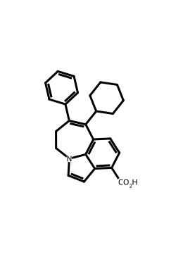 O=C(O)c1ccc2c3c1ccn3CCC(c1ccccc1)=C2C1CCCCC1